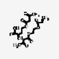 C=C(CCOC(=O)CC(C)=O)C(=O)O.C=CC(=O)OCCOC(=O)CC(C)=O